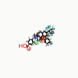 O=C(O)c1ccc(CN2CC[C@]3(S(=O)(=O)c4ccc(F)cc4)c4ccc(C(F)(C(F)(F)F)C(F)(F)F)cc4CC[C@H]23)c(Cl)c1